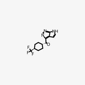 O=C(c1ncnc2[nH]ccc12)[C@H]1CC[C@H](C(F)(F)F)CC1